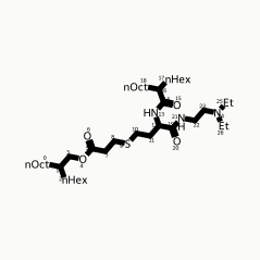 CCCCCCCCC(CCCCCC)COC(=O)CCSCCC(NC(=O)C(CCCCCC)CCCCCCCC)C(=O)NCCN(CC)CC